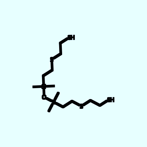 C[Si](C)(CCSCCS)O[Si](C)(C)CCSCCS